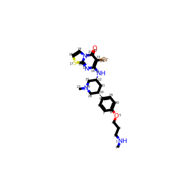 CNCCCOc1ccc([C@H]2C[C@@H](Nc3nc4sccn4c(=O)c3Br)CN(C)C2)cc1